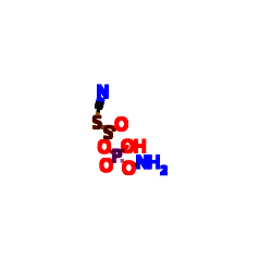 N#CSS(=O)OP(=O)(O)ON